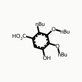 CCCCOc1c(O)cc(C(=O)O)c(CCCC)c1OCCCC